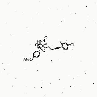 COc1ccc(S(=O)(=O)C2(CCCC#Cc3ccc(Cl)cc3C)SC(=O)NC2=O)cc1